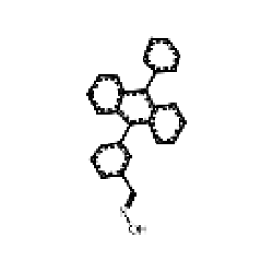 O/N=C/c1cccc(-c2c3ccccc3c(-c3ccccc3)c3ccccc23)c1